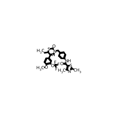 CCC1SC(=O)N(Cc2ccc(NC(=O)c3sc(C)nc3C)cc2)N=C1c1ccc(OC)c(OC(F)(F)F)c1